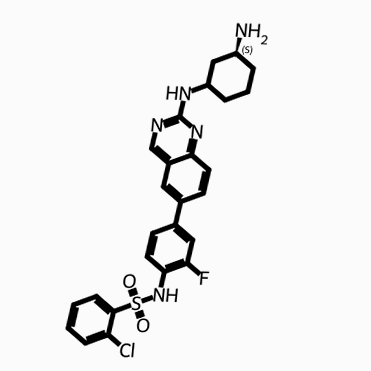 N[C@H]1CCCC(Nc2ncc3cc(-c4ccc(NS(=O)(=O)c5ccccc5Cl)c(F)c4)ccc3n2)C1